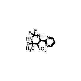 CC1(F)NC(F)(F)N[C](c2ncccn2)C1[N+](=O)[O-]